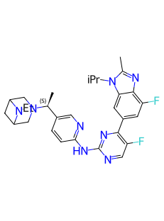 CCN1C2CC1CN([C@@H](C)c1ccc(Nc3ncc(F)c(-c4cc(F)c5nc(C)n(C(C)C)c5c4)n3)nc1)C2